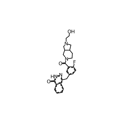 O=C(c1cc(Cc2n[nH]c(=O)c3ccccc23)ccc1F)N1CCC2CN(CCO)CC2C1